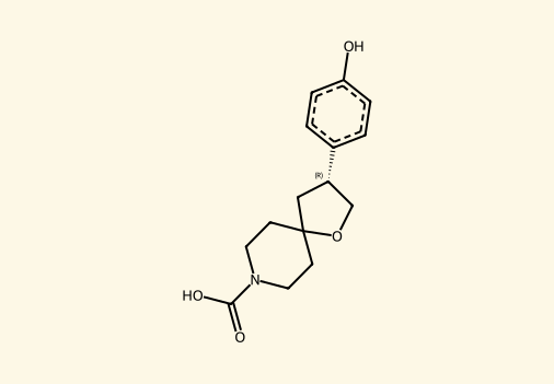 O=C(O)N1CCC2(CC1)C[C@H](c1ccc(O)cc1)CO2